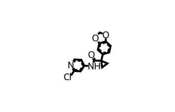 O=C(Nc1ccnc(Cl)c1)C1(c2ccc3c(c2)OCO3)CC1